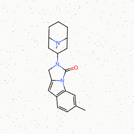 Cc1ccc2cc3n(c2c1)C(=O)N(C1CC2CCCC(C1)N2C)C3